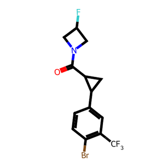 O=C(C1CC1c1ccc(Br)c(C(F)(F)F)c1)N1CC(F)C1